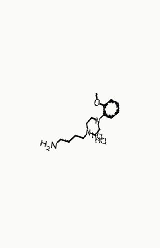 COc1ccccc1N1CCN(CCCCN)CC1.Cl.Cl